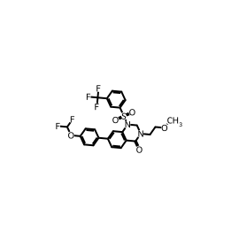 COCCN1CN(S(=O)(=O)c2cccc(C(F)(F)F)c2)c2cc(-c3ccc(OC(F)F)cc3)ccc2C1=O